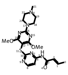 CC=CC(=O)Nc1ccnc(Sc2c(OC)nc(N3CCN(C)CC3)nc2OC)n1